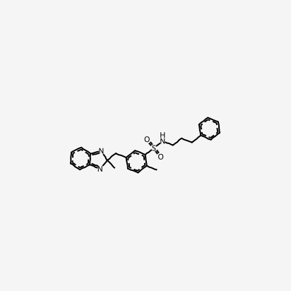 Cc1ccc(CC2(C)N=c3ccccc3=N2)cc1S(=O)(=O)NCCCc1ccccc1